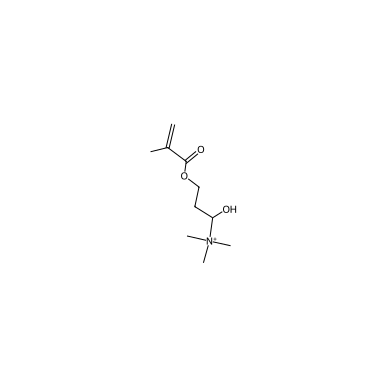 C=C(C)C(=O)OCCC(O)[N+](C)(C)C